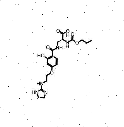 CCCOC(=O)N[C@@H](CNC(=O)c1ccc(OCCNC2=NCCN2)cc1O)C(=O)O